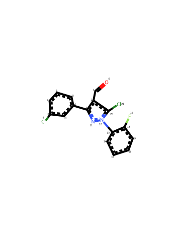 O=Cc1c(-c2cccc(Cl)c2)nn(-c2ccccc2F)c1Cl